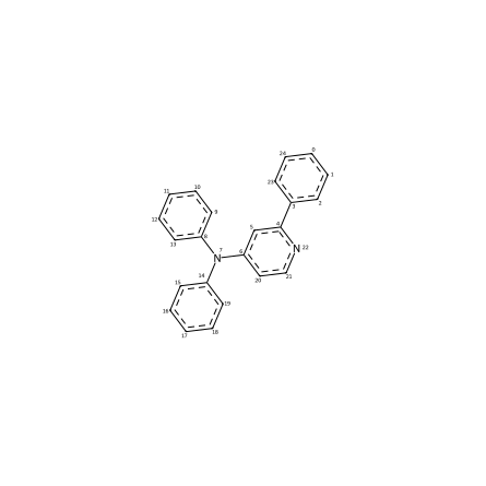 c1ccc(-c2cc(N(c3ccccc3)c3ccccc3)ccn2)cc1